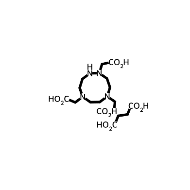 O=C(O)CCC(=O)O.O=C(O)CN1CCNN(CC(=O)O)CCN(CC(=O)O)CC1